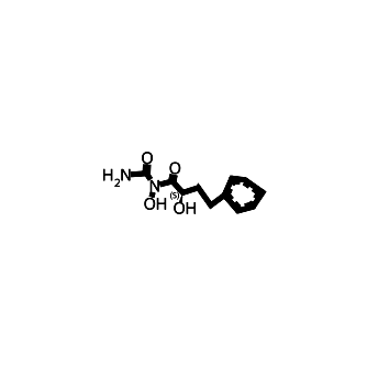 NC(=O)N(O)C(=O)[C@@H](O)[CH]Cc1ccccc1